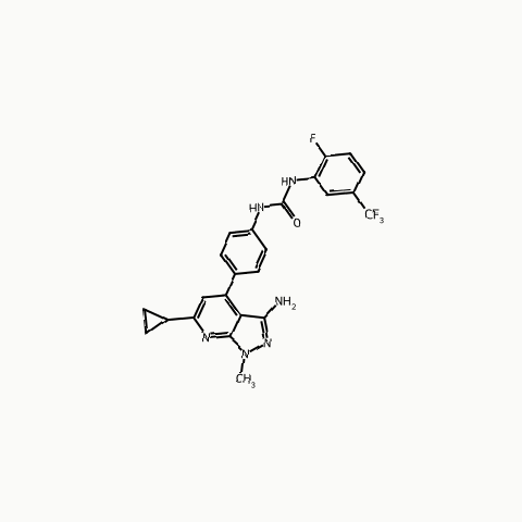 Cn1nc(N)c2c(-c3ccc(NC(=O)Nc4cc(C(F)(F)F)ccc4F)cc3)cc(C3CC3)nc21